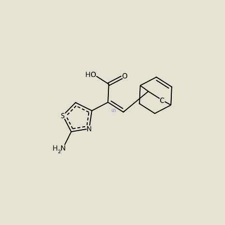 Nc1nc(/C(=C/C2CC3C=CC2CC3)C(=O)O)cs1